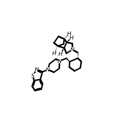 c1ccc2c(N3CCN(C[C@@H]4CCCC[C@H]4CN4C[C@@H]5[C@H]6CC[C@H](C6)[C@@H]5C4)CC3)nsc2c1